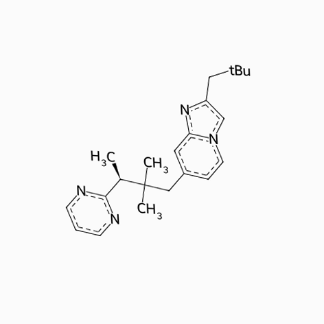 C[C@H](c1ncccn1)C(C)(C)Cc1ccn2cc(CC(C)(C)C)nc2c1